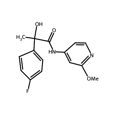 COc1cc(NC(=O)C(C)(O)c2ccc(F)cc2)ccn1